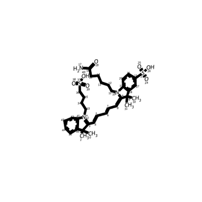 CC1(C)C(/C=C/C=C/C=C2\N(CCCCCC(N)=O)c3ccc(S(=O)(=O)O)cc3C2(C)C)=[N+](CCCCS(=O)(=O)O)c2ccccc21